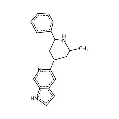 CC1CC(c2cc3cc[nH]c3cn2)CC(c2ccccc2)N1